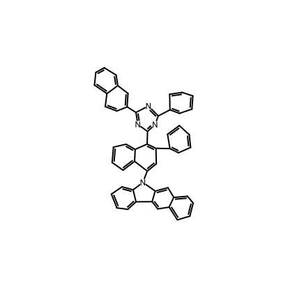 c1ccc(-c2nc(-c3ccc4ccccc4c3)nc(-c3c(-c4ccccc4)cc(-n4c5ccccc5c5cc6ccccc6cc54)c4ccccc34)n2)cc1